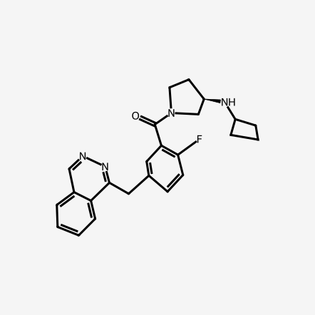 O=C(c1cc(Cc2nncc3ccccc23)ccc1F)N1CC[C@@H](NC2CCC2)C1